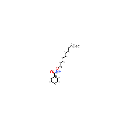 CCCCCCCCCCCCCCCCCCONC(=O)C1CCCCC1